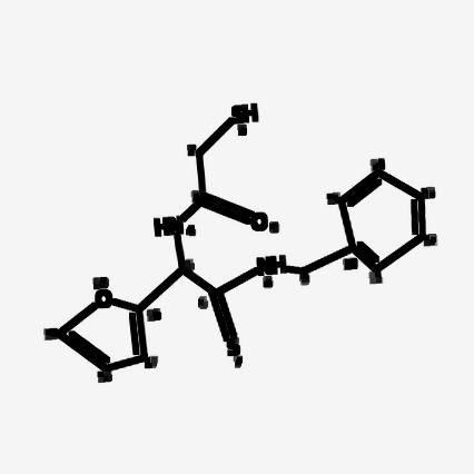 O=C(CS)NC(C(=S)NCc1ccccc1)c1ccco1